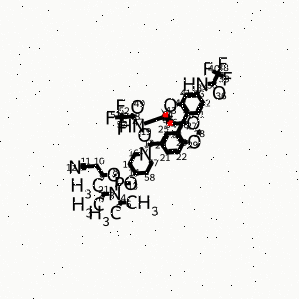 CC(C)N(C(C)C)P(OCCC#N)OC1CCN(C(=O)c2ccc3c(c2)C2(OCO3)c3ccc(NC(=O)C(F)(F)F)cc3Oc3cc(NC(=O)C(F)(F)F)ccc32)CC1